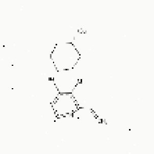 C=Cc1ncnc(N[C@H]2CC[C@@H](C(C)(C)C)CC2)c1Cl